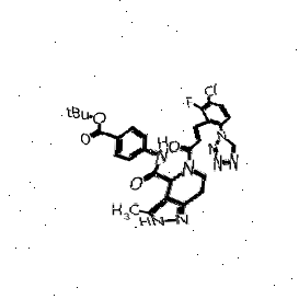 Cc1[nH]nc2c1C(C(=O)Nc1ccc(C(=O)OC(C)(C)C)cc1)N(C(=O)/C=C/c1c(-n3cnnn3)ccc(Cl)c1F)CC2